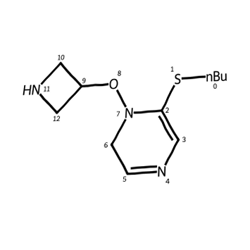 CCCCSC1=CN=CCN1OC1CNC1